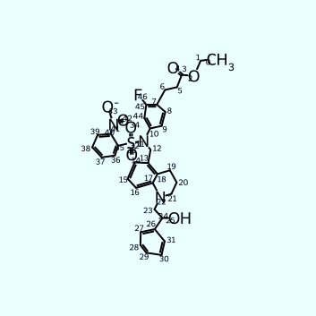 CCOC(=O)CCc1ccc(N(Cc2cccc3c2CCCN3CC(O)c2ccccc2)S(=O)(=O)c2ccccc2[N+](=O)[O-])cc1F